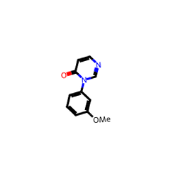 COc1cccc(-n2cnccc2=O)c1